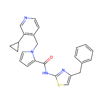 O=C(Nc1nc(Cc2ccccc2)cs1)c1cccn1Cc1ccncc1C1CC1